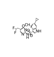 COc1nc(NS(=O)(=O)c2c[nH]c3cc(C4CC4)ccc23)ncc1CC(F)F